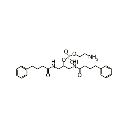 NCCOP(=O)(O)OC(CNC(=O)CCCc1ccccc1)CNC(=O)CCCc1ccccc1